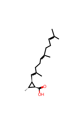 CC(C)=CCC/C(C)=C/CC/C(C)=C/[C@@H]1[C@@H](C)[C@@H]1C(=O)O